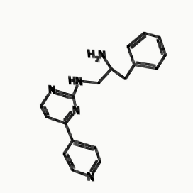 NC(CNc1nccc(-c2ccncc2)n1)Cc1ccccc1